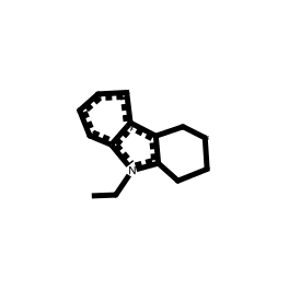 CCn1c2c(c3ccccc31)C[C]CC2